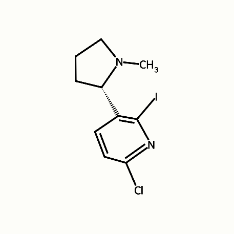 CN1CCC[C@H]1c1ccc(Cl)nc1I